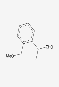 COCc1ccccc1C(C)C=O